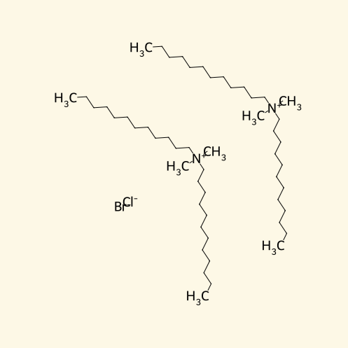 CCCCCCCCCCCC[N+](C)(C)CCCCCCCCCCCC.CCCCCCCCCCCC[N+](C)(C)CCCCCCCCCCCC.[Br-].[Cl-]